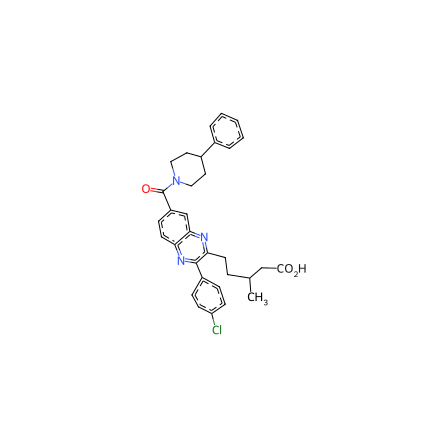 CC(CCc1nc2cc(C(=O)N3CCC(c4ccccc4)CC3)ccc2nc1-c1ccc(Cl)cc1)CC(=O)O